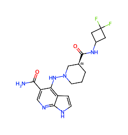 NC(=O)c1cnc2[nH]ccc2c1NN1CCC[C@H](C(=O)NC2CC(F)(F)C2)C1